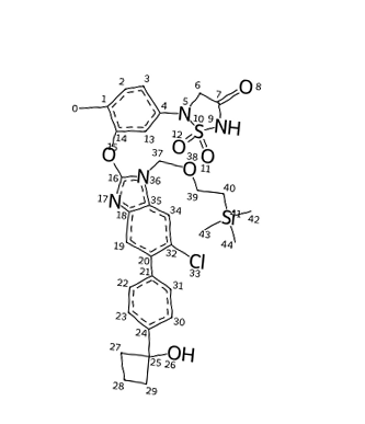 Cc1ccc(N2CC(=O)NS2(=O)=O)cc1Oc1nc2cc(-c3ccc(C4(O)CCC4)cc3)c(Cl)cc2n1COCC[Si](C)(C)C